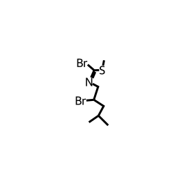 CS/C(Br)=N\CC(Br)CC(C)C